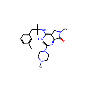 C=C(/N=C1/C(=O)N(C(C)C)C/C1=C(/N)NC(C)(C)Cc1cccc(C)c1)N1CCN(C(C)=O)CC1